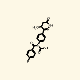 CC1CC(=O)NN=C1c1ccc(N(C(=O)S)C(=O)c2ccc(F)cc2)cc1